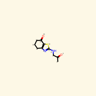 CC(=O)CNc1nc2c(s1)C(=O)CCC2